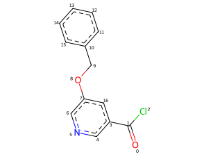 O=C(Cl)c1cncc(OCc2ccccc2)c1